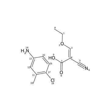 CCO/C=C(/C#N)C(=O)O.Cc1cc(N)ccc1Cl